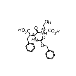 O=C(N[C@H](C(=O)N[C@H](CO)C(=O)O)C(Cc1ccccc1)C(=O)O)OCc1ccccc1